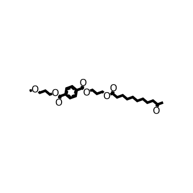 COCCCOC(=O)c1ccc(C(=O)OCCCOC(=O)CCCCCCCCC(C)=O)cc1